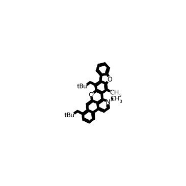 Cc1c2c(c(CC(C)(C)C)c3c1oc1ccccc13)Oc1cc3c(CC(C)(C)C)cccc3c3cc[n+](C)c-2c13